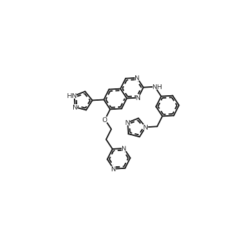 c1cc(Cn2ccnc2)cc(Nc2ncc3cc(-c4cn[nH]c4)c(OCCc4cnccn4)cc3n2)c1